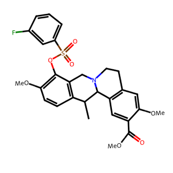 COC(=O)c1cc2c(cc1OC)CCN1Cc3c(ccc(OC)c3OS(=O)(=O)c3cccc(F)c3)C(C)C21